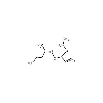 C=CC(ON=C(C)CCC)O[SiH2]C